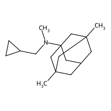 CN(CC1CC1)C12CC3CC(C)(CC(C)(C3)C1)C2